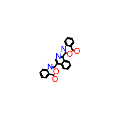 O=c1oc(-c2cnc(-c3nc4ccccc4c(=O)o3)c3ccccc23)nc2ccccc12